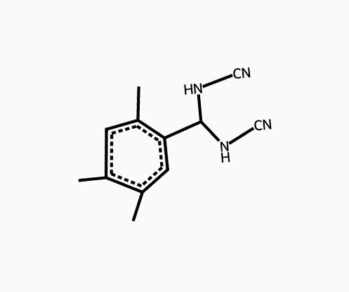 Cc1cc(C)c(C(NC#N)NC#N)cc1C